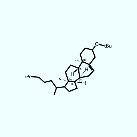 CC(C)CCCC(C)C1CC[C@H]2[C@@H]3CC=C4CC(OC(C)(C)C)CC[C@]4(C)[C@H]3CC[C@]12C